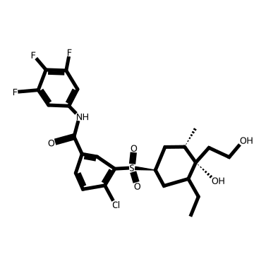 CCC1C[C@@H](S(=O)(=O)c2cc(C(=O)Nc3cc(F)c(F)c(F)c3)ccc2Cl)C[C@H](C)[C@@]1(O)CCO